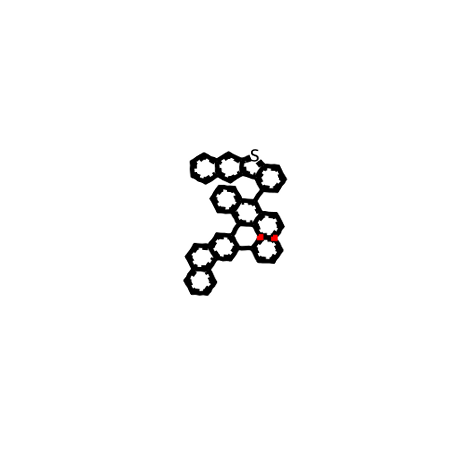 c1ccc(-c2cc3c(ccc4ccccc43)cc2-c2c3ccccc3c(-c3cccc4sc5cc6ccccc6cc5c34)c3ccccc23)cc1